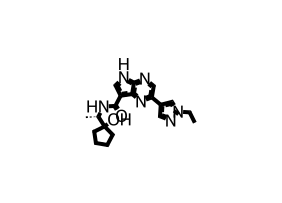 CCn1cc(-c2cnc3[nH]cc(C(=O)N[C@@H](C)C4(O)CCCC4)c3n2)cn1